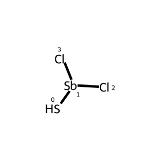 [SH][Sb]([Cl])[Cl]